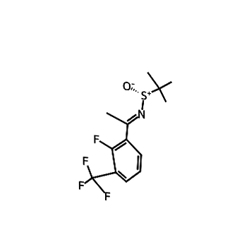 C/C(=N\[S@+]([O-])C(C)(C)C)c1cccc(C(F)(F)F)c1F